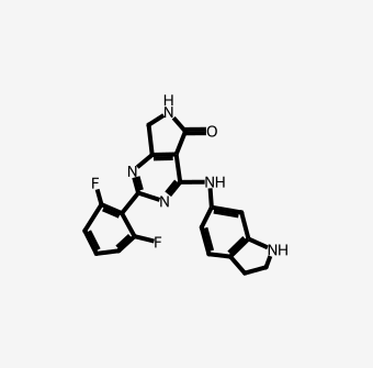 O=C1NCc2nc(-c3c(F)cccc3F)nc(Nc3ccc4c(c3)NCC4)c21